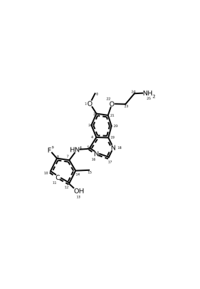 COc1cc2c(Nc3c(F)ccc(O)c3C)ncnc2cc1OCCN